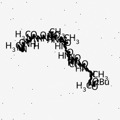 CN(CCCNC(=O)CCNC(=O)c1nc(NC(=O)CCNC(=O)c2cc(NC(=O)c3nc(NC(=O)CCNC(=O)c4cc(NC(=O)c5nccn5C)cn4C)cn3C)cn2C)cn1C)CCCN(C)C(=O)OC(C)(C)C